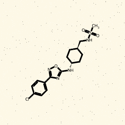 CS(=O)(=O)NC[C@H]1CC[C@H](Nc2nc(-c3ccc(Cl)cc3)no2)CC1